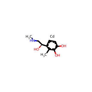 CNC[C@H](O)c1ccc(O)c(O)c1C.[Cd]